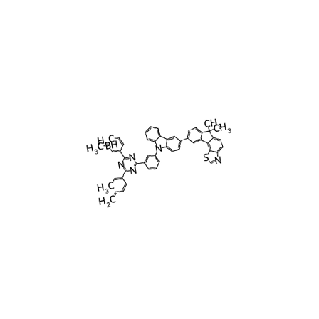 C=C/C=C\C(=C/C)c1nc(C(/C=C\C)=C/BC)nc(-c2cccc(-n3c4ccccc4c4cc(-c5ccc6c(c5)-c5c(ccc7ncsc57)C6(C)C)ccc43)c2)n1